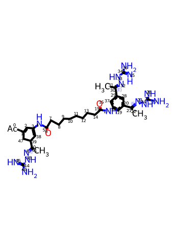 CC(=O)C1=CC(NC(=O)CCCCCCCCC(=O)Nc2cc(/C(C)=N/NC(=N)N)cc(/C(C)=N/NC(=N)N)c2)=CC(/C(C)=N/NC(=N)N)C1